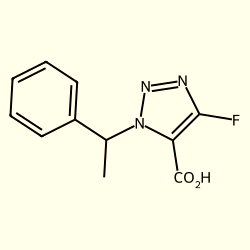 CC(c1ccccc1)n1nnc(F)c1C(=O)O